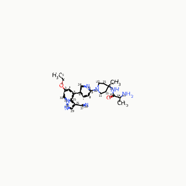 CCOc1cc(-c2ccc(N3CCC(C)(NC(=O)[C@H](C)N)CC3)nc2)c2c(C#N)cnn2c1